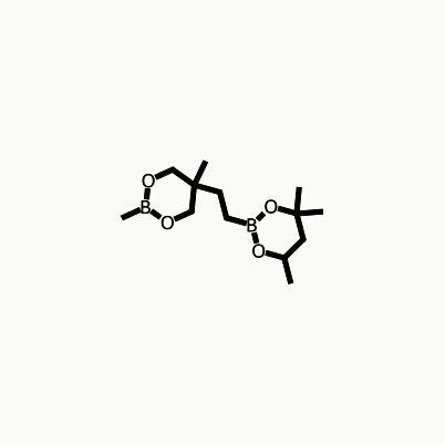 CB1OCC(C)(CCB2OC(C)CC(C)(C)O2)CO1